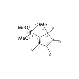 C[O][Hf]([O]C)([O]C)[C]1=C(C)C(C)=C(C)C1(C)C